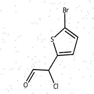 O=CC(Cl)c1ccc(Br)s1